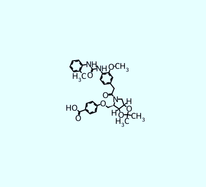 COc1cc(CC(=O)N2C[C@@H]3OC(C)(C)O[C@@H]3[C@H]2COc2ccc(C(=O)O)cc2)ccc1NC(=O)Nc1ccccc1C